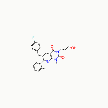 Cc1ccccc1C1=Nc2c(c(=O)n(CCCO)c(=O)n2C)CC1Cc1ccc(F)cc1